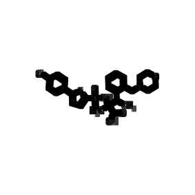 CC(c1ccccc1CN1CCOCC1)C(C)(NS(=O)(=O)c1ccc(-c2ccc(Cl)cc2)s1)C(=O)O